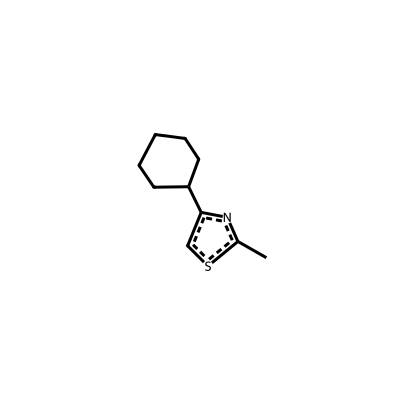 Cc1nc(C2CCCCC2)cs1